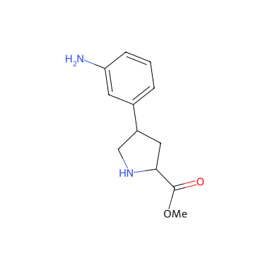 COC(=O)C1CC(c2cccc(N)c2)CN1